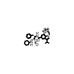 CC(C)c1cn2c3c(cc(C(=O)N[C@@H](Cc4ccccc4)[C@@H](CNC4CCCCC4)OC=O)cc13)N(C)S(=O)(=O)CC2